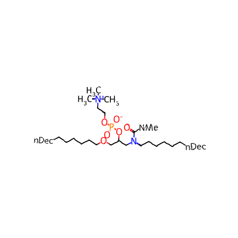 CCCCCCCCCCCCCCCCOCC(CN(CCCCCCCCCCCCCCCC)C(=O)NC)OP(=O)([O-])OCC[N+](C)(C)C